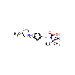 CC(C)CNCc1ccc(CCN(C(=O)O)C(C)(C)C)cc1